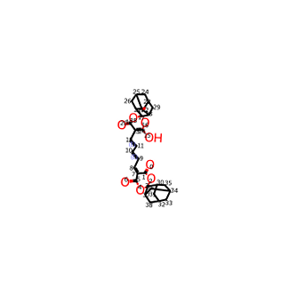 O=C1OC2(OC(=O)C1=C/C=C/C=C/C1=C(O)OC3(OC1=O)C1CC4CC(C1)CC3C4)C1CC3CC(C1)CC2C3